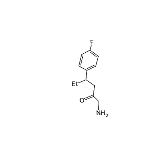 CCC(CC(=O)CN)c1ccc(F)cc1